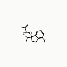 C=C(C)C(=O)OC1(C(C)C)CCc2c(F)cccc21